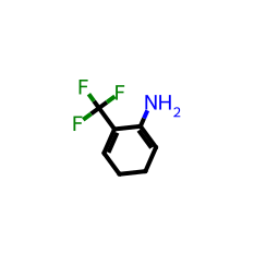 NC1=CCCC=C1C(F)(F)F